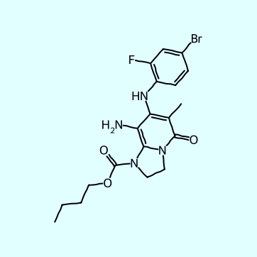 CCCCOC(=O)N1CCn2c1c(N)c(Nc1ccc(Br)cc1F)c(C)c2=O